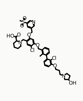 Cc1c(COc2cc(OCc3cncc(S(C)(=O)=O)c3)c(CN3CCCCC3C(=O)O)cc2Cl)cccc1-c1cccc(OCCCN2CCC(O)C2)c1Cl